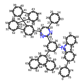 c1ccc(-c2ccc3c4ccccc4n(-c4cc(-c5nc(-c6ccccc6)cc(-c6ccc7c(c6)C6(c8ccccc8-c8ccccc86)c6ccccc6-7)n5)cc(-c5cc6ccccc6c6ccccc56)c4)c3c2)cc1